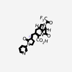 O=C(O)C1=C(/C=C2\CCN(c3cccnc3)C2=O)C[C@@H]2CN(C(=O)C(F)(F)F)[C@@H]3C(=O)N1[C@H]23